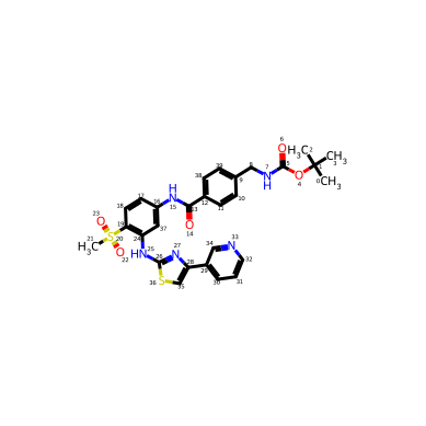 CC(C)(C)OC(=O)NCc1ccc(C(=O)Nc2ccc(S(C)(=O)=O)c(Nc3nc(-c4cccnc4)cs3)c2)cc1